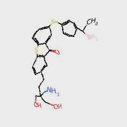 BC(C)c1ccc(Sc2ccc3sc4ccc(CCC(N)(CO)CO)cc4c(=O)c3c2)cc1